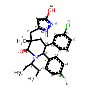 CCC(CC)N1C(=O)C(C)(Cc2cc(O)n[nH]2)CC(c2cccc(Cl)c2)C1c1ccc(Cl)cc1